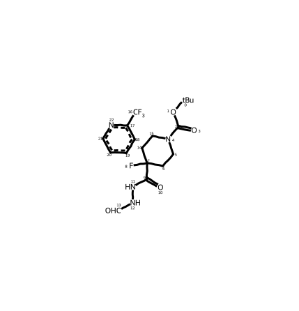 CC(C)(C)OC(=O)N1CCC(F)(C(=O)NNC=O)CC1.FC(F)(F)c1ccccn1